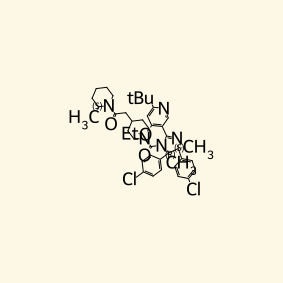 CCOc1cc(C(C)(C)C)ncc1C1=N[C@@](C)(c2ccc(Cl)cc2)[C@@](C)(c2ccc(Cl)cc2)N1C(=O)N1CCC(CC(=O)N2CCCC[C@@H]2C)CC1